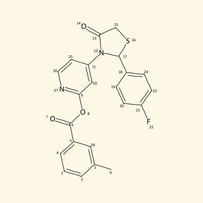 Cc1cccc(C(=O)Oc2cc(N3C(=O)CSC3c3ccc(F)cc3)ccn2)c1